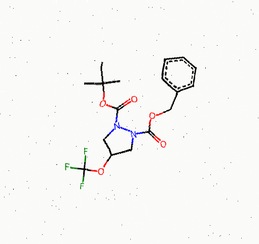 CC(C)(C)OC(=O)N1CC(OC(F)(F)F)CN1C(=O)OCc1ccccc1